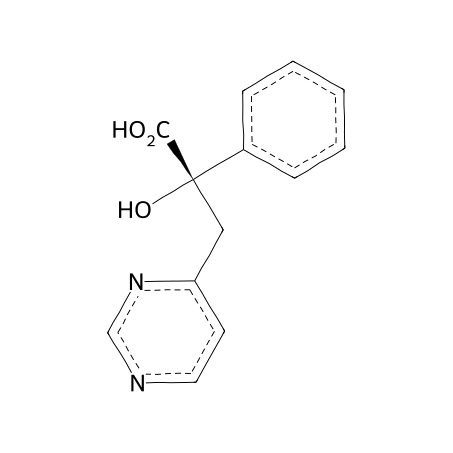 O=C(O)[C@](O)(Cc1ccncn1)c1ccccc1